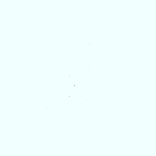 C[C@H]1CC[C@H](N(CCOCc2ccc(F)cc2F)C(=O)Nc2ncc(S(=O)(=O)CC(=O)O)s2)CC1